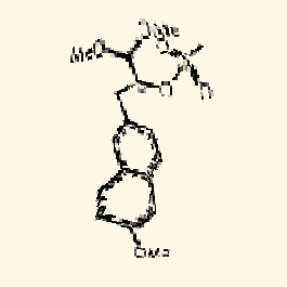 COc1ccc2cc(C[C@H](OS(C)(=O)=O)C(OC)OC)ccc2c1